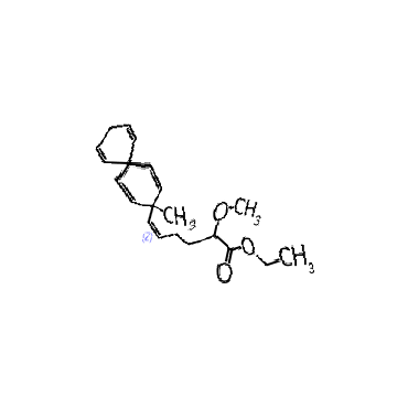 CCOC(=O)C(CC/C=C\C1(C)C=CC2(C=CCC=C2)C=C1)OC